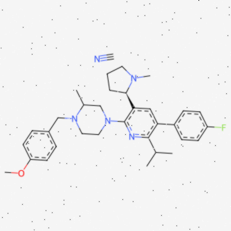 C#N.COc1ccc(CN2CCN(c3nc(C(C)C)c(-c4ccc(F)cc4)cc3[C@H]3CCCN3C)CC2C)cc1